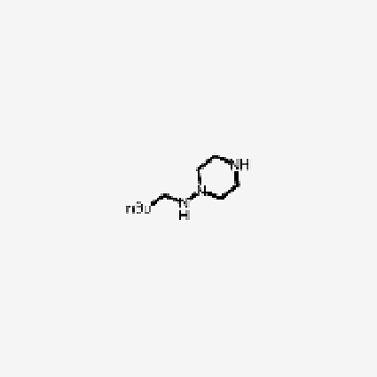 CCCC[CH]NN1CCNCC1